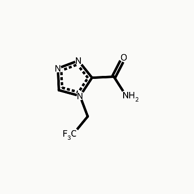 NC(=O)c1nncn1CC(F)(F)F